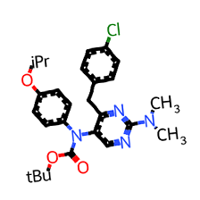 CC(C)Oc1ccc(N(C(=O)OC(C)(C)C)c2cnc(N(C)C)nc2Cc2ccc(Cl)cc2)cc1